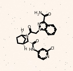 NC(=O)c1nn(CC(=O)N2[C@@H]3CC[C@@H](C3)[C@H]2C(=O)Nc2ccnc(Cl)c2)c2ccccc12